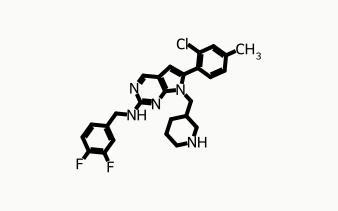 Cc1ccc(-c2cc3cnc(NCc4ccc(F)c(F)c4)nc3n2CC2CCCNC2)c(Cl)c1